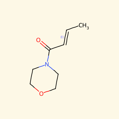 C/C=C/C(=O)N1CCOCC1